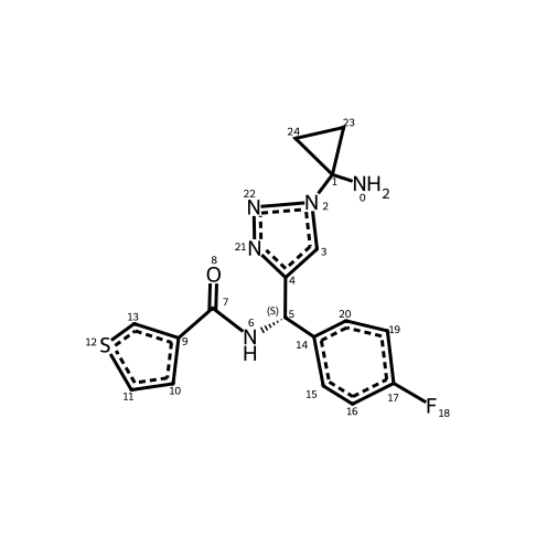 NC1(n2cc([C@@H](NC(=O)c3ccsc3)c3ccc(F)cc3)nn2)CC1